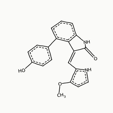 COc1cc[nH]c1C=C1C(=O)Nc2cccc(-c3ccc(O)cc3)c21